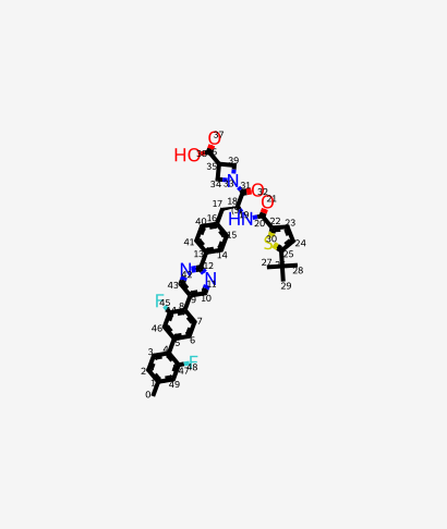 Cc1ccc(-c2ccc(-c3cnc(-c4ccc(C[C@H](NC(=O)c5ccc(C(C)(C)C)s5)C(=O)N5CC(C(=O)O)C5)cc4)nc3)c(F)c2)c(F)c1